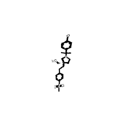 CC(C)(c1ccc(Cl)cc1)N1CC[C@@](CO)(CCc2ccc(S(C)(=O)=O)cc2)C1